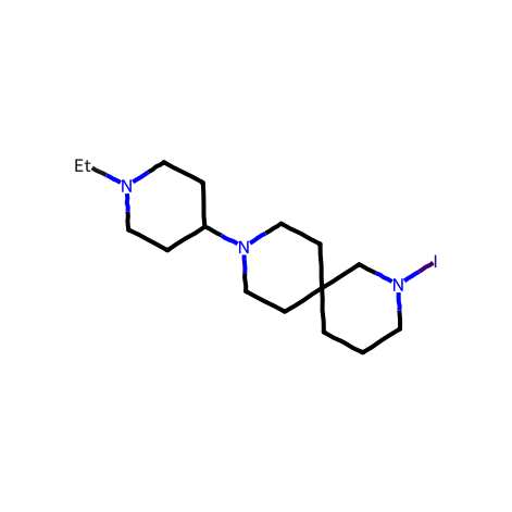 CCN1CCC(N2CCC3(CCCN(I)C3)CC2)CC1